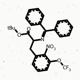 CC(C)(C)OC(=O)C(Cc1cccc(OC(F)(F)F)c1[N+](=O)[O-])N=C(c1ccccc1)c1ccccc1